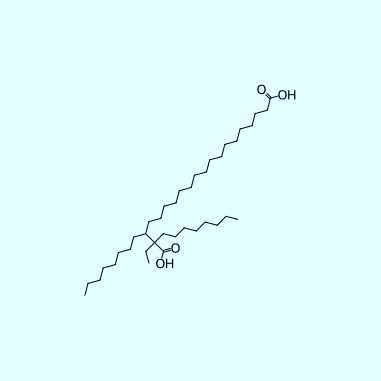 CCCCCCCCC(CCCCCCCCCCCCCCCCC(=O)O)C(CC)(CCCCCCCC)C(=O)O